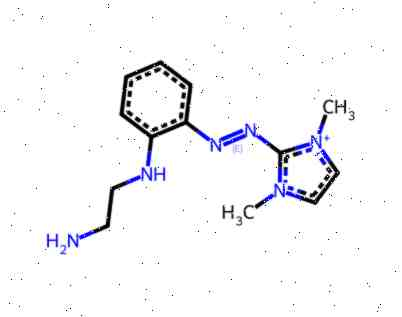 Cn1cc[n+](C)c1/N=N/c1ccccc1NCCN